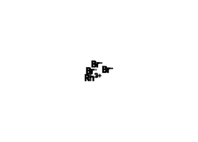 [Br-].[Br-].[Br-].[Rh+3]